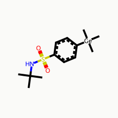 CC(C)(C)NS(=O)(=O)c1cc[c]([Ge]([CH3])([CH3])[CH3])cc1